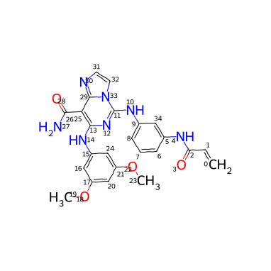 C=CC(=O)Nc1cccc(Nc2nc(Nc3cc(OC)cc(OC)c3)c(C(N)=O)c3nccn23)c1